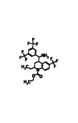 CCOC(=O)N1c2ccc(C(F)(F)F)cc2C(C(N)c2cc(C(F)(F)F)cc(C(F)(F)F)c2)CC1CC